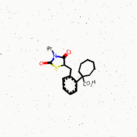 CC(C)N1C(=O)SC(Cc2ccccc2C2(C(=O)O)CCCCCC2)C1=O